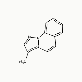 Cc1cnn2c1ccc1ccccc12